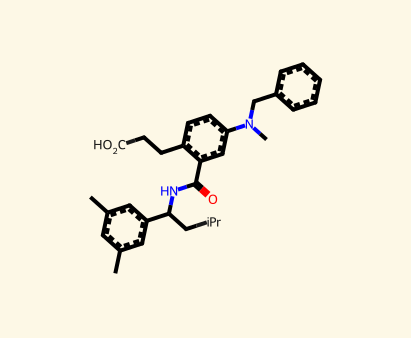 Cc1cc(C)cc(C(CC(C)C)NC(=O)c2cc(N(C)Cc3ccccc3)ccc2CCC(=O)O)c1